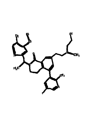 CCOc1cc(C(C)N2CCc3c(cc(CCN(C)CCO)cc3-c3cc(F)cnc3C(F)(F)F)C2=O)ncc1C#N